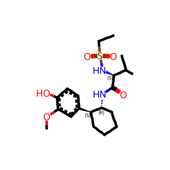 CCS(=O)(=O)N[C@H](C(=O)N[C@@H]1CCCC[C@H]1c1ccc(O)c(OC)c1)C(C)C